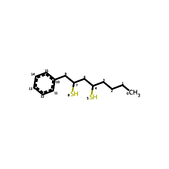 CCCCC(S)CC(S)Cc1cc[c]cc1